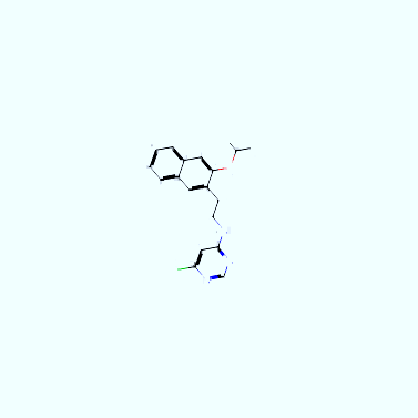 CC(C)Oc1cc2ccccc2cc1CCNc1cc(Cl)ncn1